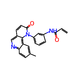 C=CC(=O)Nc1cccc(-n2c(=O)ccc3cnc4ccc(C)cc4c32)c1